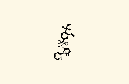 C=Cc1cc(S(=O)(=O)Nc2ccnn2-c2ccccn2)ccc1C(F)(F)C=C